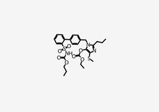 CCCOC(=O)NS(=O)(=O)c1ccccc1-c1ccc(Cn2c(CCC)nc(SC)c2OC(=O)OCC)cc1